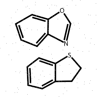 c1ccc2c(c1)CCS2.c1ccc2ocnc2c1